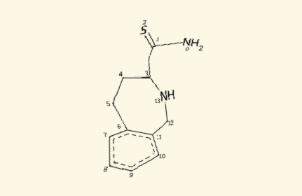 NC(=S)C1CCc2ccccc2CN1